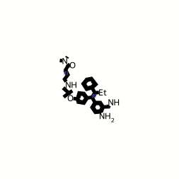 CC/C(=C(/c1ccc(OC(C)(C)CNC/C=C/C(=O)N(C)C)cc1)c1ccc(N)c(C=N)c1)c1ccccc1